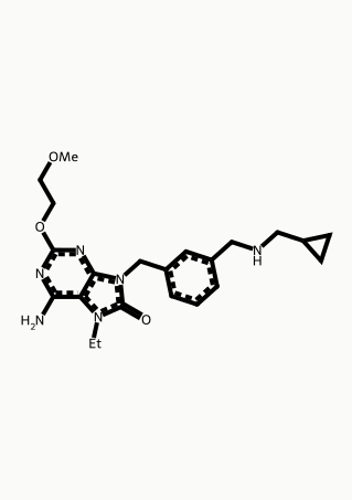 CCn1c(=O)n(Cc2cccc(CNCC3CC3)c2)c2nc(OCCOC)nc(N)c21